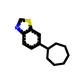 c1nc2ccc([C]3CCCCCC3)cc2s1